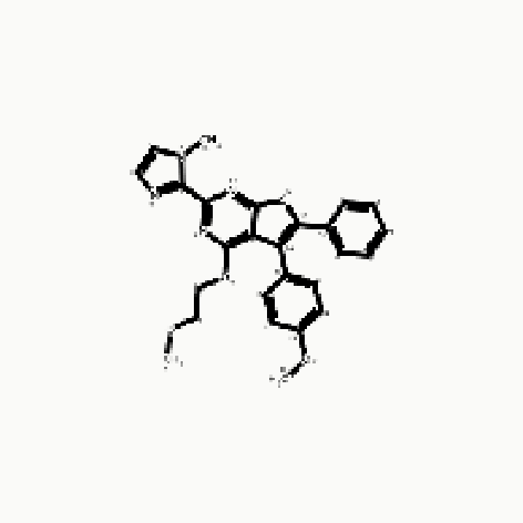 COCCOc1nc(-c2nccn2C)nc2sc(-c3ccccc3)c(-c3ccc(OC)cc3)c12